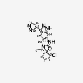 C[C@H](c1cccc(Cl)c1)N1Cc2cc3c(-c4ccnnc4)n[nH]c3cc2NC1=O